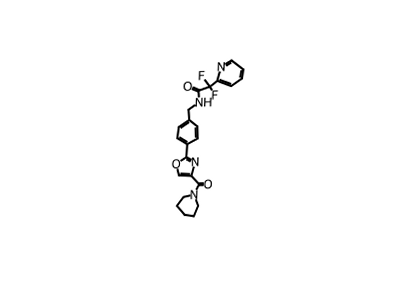 O=C(c1coc(-c2ccc(CNC(=O)C(F)(F)c3ccccn3)cc2)n1)N1CCCCC1